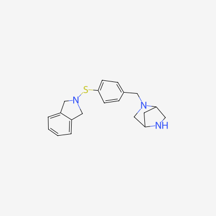 c1ccc2c(c1)CN(Sc1ccc(CN3CC4CC3CN4)cc1)C2